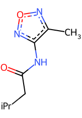 Cc1nonc1NC(=O)CC(C)C